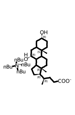 CCCC[N+](CCCC)(CCCC)CCCC.C[C@H](CCC(=O)[O-])[C@H]1CCC2C3C(CC[C@@]21C)[C@@]1(C)CC[C@@H](O)CC1C[C@H]3O